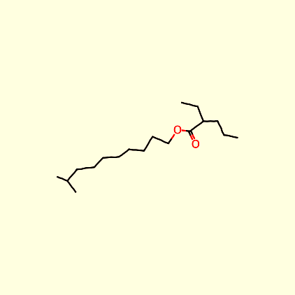 CCCC(CC)C(=O)OCCCCCCCCC(C)C